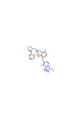 CCc1nnc2c(C)c(Cc3ccc(C)c(CN4CC5CCCN5c5ccccc5[S+]4[O-])c3)ccn12